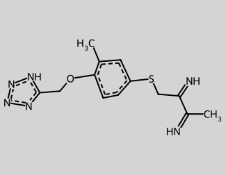 CC(=N)C(=N)CSc1ccc(OCc2nnn[nH]2)c(C)c1